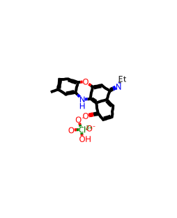 CCN=c1cc2oc3ccc(C)cc3[nH]c-2c2c(=O)cccc1-2.[O-][Cl+3]([O-])([O-])O